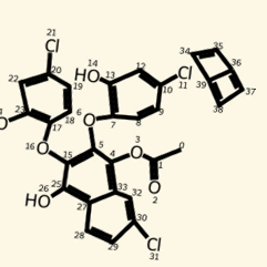 CC(=O)Oc1c(Oc2ccc(Cl)cc2O)c(Oc2ccc(Cl)cc2O)c(O)c2ccc(Cl)cc12.c1cc2ccc1-2